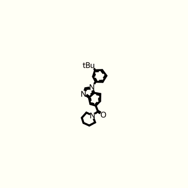 CC(C)(C)c1cccc(-n2cnc3cc(C(=O)N4CCCCC4)ccc32)c1